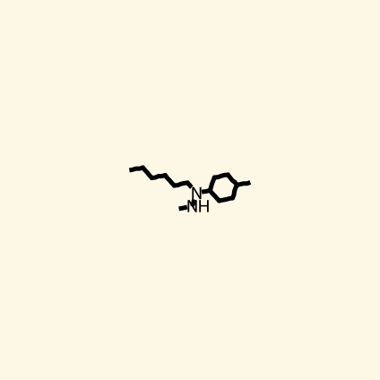 CCCCCCN(NC)C1CCC(C)CC1